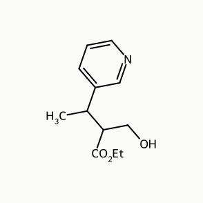 CCOC(=O)C(CO)C(C)c1cccnc1